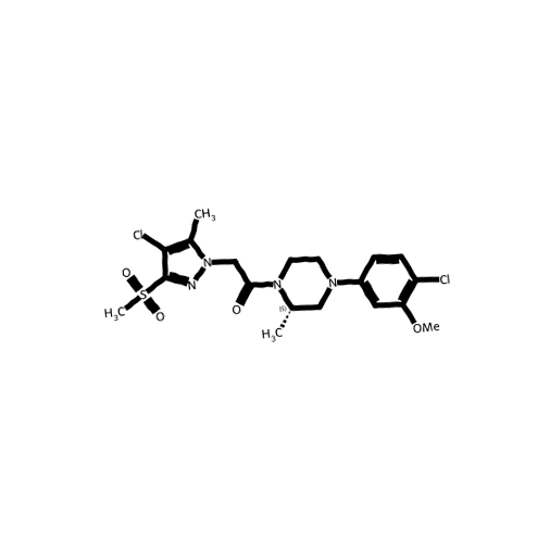 COc1cc(N2CCN(C(=O)Cn3nc(S(C)(=O)=O)c(Cl)c3C)[C@@H](C)C2)ccc1Cl